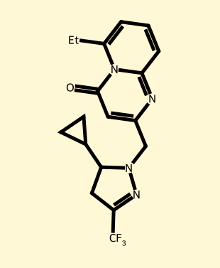 CCc1cccc2nc(CN3N=C(C(F)(F)F)CC3C3CC3)cc(=O)n12